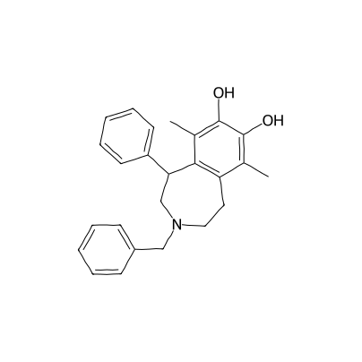 Cc1c(O)c(O)c(C)c2c1CCN(Cc1ccccc1)CC2c1ccccc1